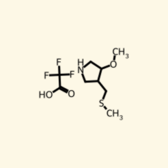 COC1CNCC1CSC.O=C(O)C(F)(F)F